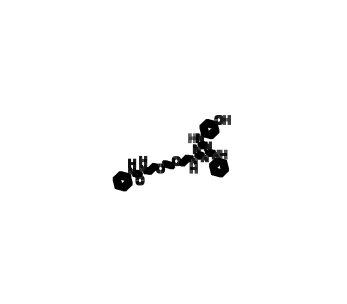 O=C(NCCOCCOCCNc1nc(Nc2ccccc2)nc(Nc2ccc(O)cc2)n1)Nc1ccccc1